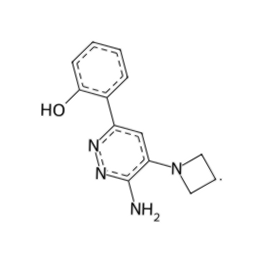 Nc1nnc(-c2ccccc2O)cc1N1C[CH]C1